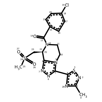 Cc1nsc(-c2nnc3n2CCN(C(=O)c2ccc(Cl)cc2)[C@@H]3CS(C)(=O)=O)n1